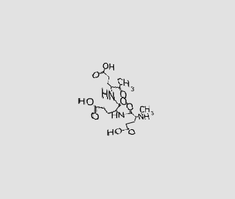 CNC(CCC(=O)O)C(=O)NC(CCC(=O)O)C(=O)NC(CCC(=O)O)C(C)=O